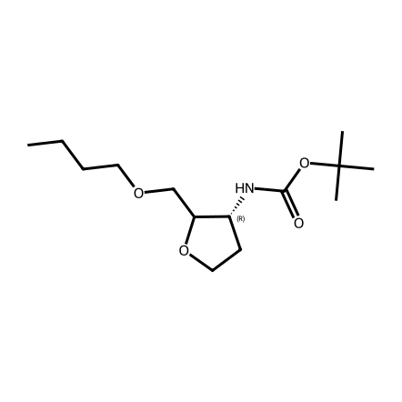 CCCCOCC1OCC[C@H]1NC(=O)OC(C)(C)C